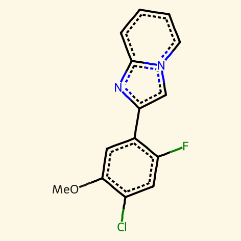 COc1cc(-c2cn3ccccc3n2)c(F)cc1Cl